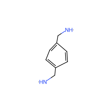 [NH]Cc1ccc(C[NH])cc1